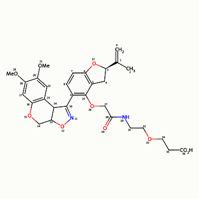 C=C(C)[C@H]1Cc2c(ccc(C3=NOC4COc5cc(OC)c(OC)cc5C34)c2OCC(=O)NCCOCCC(=O)O)O1